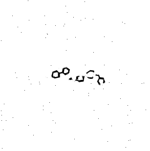 Cc1ccc(OC(=O)Nc2ccc(N3CCCN(Cc4ccncc4)CC3)nc2)cc1-c1ccc(C#N)cc1